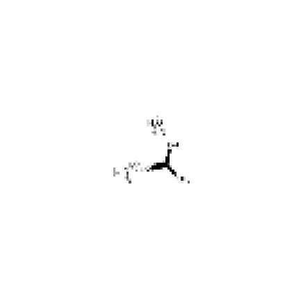 CC(=O)O.O.O.O.O.[Lu]